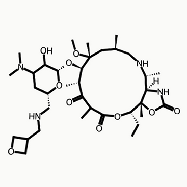 CC[C@@H]1OC(=O)C(C)C(=O)[C@H](C)[C@@H](O[C@@H]2O[C@H](CNCC3COC3)CC(N(C)C)C2O)[C@](C)(OC)C[C@@H](C)CN[C@H](C)[C@H]2NC(=O)O[C@]12C